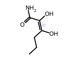 CCC/C(O)=C(/O)C(N)=O